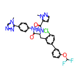 Cn1cnnc1-c1ccc(NC(=O)C(Cc2cc(-c3cccc(OC(F)F)c3)ccc2Cl)NC(=O)c2ccnn2C)cc1